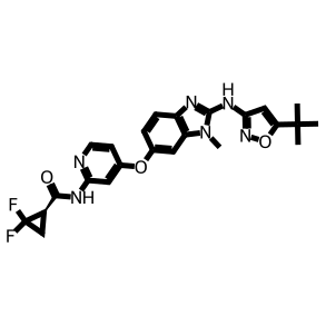 Cn1c(Nc2cc(C(C)(C)C)on2)nc2ccc(Oc3ccnc(NC(=O)[C@H]4CC4(F)F)c3)cc21